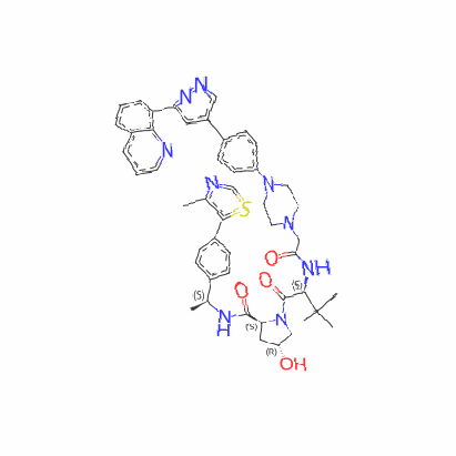 Cc1ncsc1-c1ccc([C@H](C)NC(=O)[C@@H]2C[C@@H](O)CN2C(=O)[C@@H](NC(=O)CN2CCN(c3ccc(-c4cnnc(-c5cccc6cccnc56)c4)cc3)CC2)C(C)(C)C)cc1